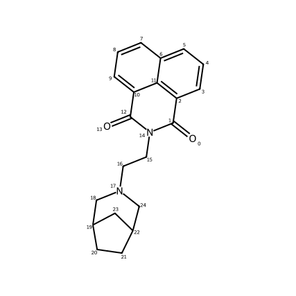 O=C1c2cccc3cccc(c23)C(=O)N1CCN1CC2CCC(C2)C1